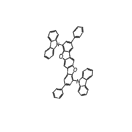 c1ccc(-c2cc(-n3c4ccccc4c4ccccc43)c3oc4cc5c(cc4c3c2)oc2c(-n3c4ccccc4c4ccccc43)cc(-c3ccccc3)cc25)cc1